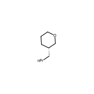 CCCC[C@@H]1CCCOC1